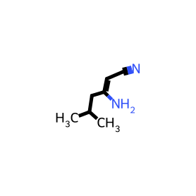 CC(C)CC(N)=CC#N